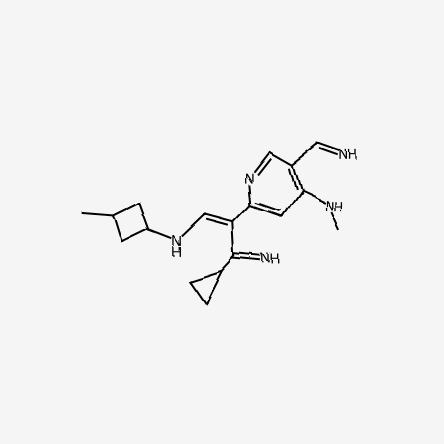 CNc1cc(/C(=C/NC2CC(C)C2)C(=N)C2CC2)ncc1C=N